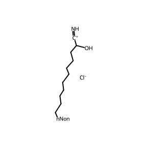 CCCCCCCCCCCCCCCCCCC(O)[C+]=N.[Cl-]